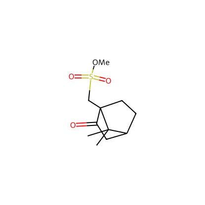 COS(=O)(=O)CC12CCC(CC1=O)C2(C)C